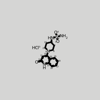 Cl.NS(=O)(=O)NC1CCN(c2cc(=O)[nH]c3ccccc23)CC1